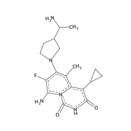 Cc1c(N2CCC(C(C)N)C2)c(F)c(N)n2c(=O)[nH]c(=O)c(C3CC3)c12